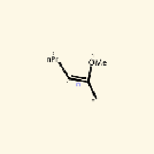 [CH2]/C(=C/CCC)OC